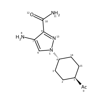 CC(=O)[C@H]1CC[C@H](n2cc(N)c(C(N)=O)n2)CC1